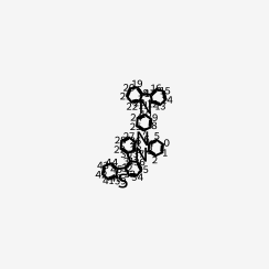 c1ccc2c(c1)N(c1ccc(-n3c4ccccc4c4ccccc43)cc1)c1cccc3c4c5c(ccc4n-2c13)sc1ccccc15